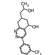 CC(O)CC1Cc2nnc(-c3cccc(C(F)(F)F)c3)cc2C(O)C1